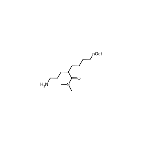 CCCCCCCCCCCCC(CCCN)C(=O)N(C)C